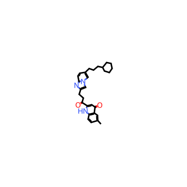 Cc1ccc2[nH]c(C(=O)CCc3cn4cc(CCCC5CCCCC5)ccc4n3)cc(=O)c2c1